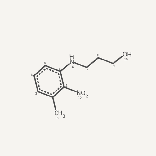 Cc1cccc(NCCCO)c1[N+](=O)[O-]